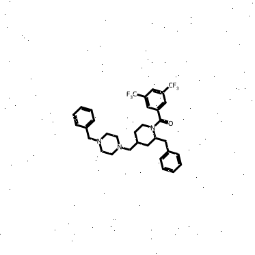 O=C(c1cc(C(F)(F)F)cc(C(F)(F)F)c1)N1CCC(CN2CCN(Cc3ccccc3)CC2)CC1Cc1ccccc1